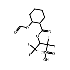 O=COC1CCCCC1C(=O)OC(C(F)(F)F)C(F)(F)S(=O)(=O)O